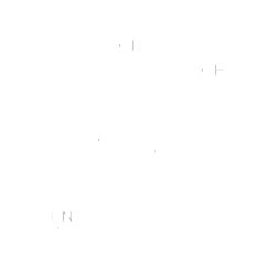 NCCCC(=O)OC(CCCO)CCCO